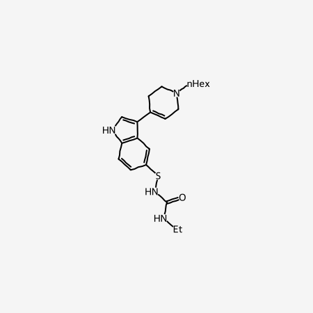 CCCCCCN1CC=C(c2c[nH]c3ccc(SNC(=O)NCC)cc23)CC1